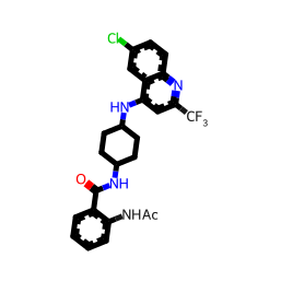 CC(=O)Nc1ccccc1C(=O)NC1CCC(Nc2cc(C(F)(F)F)nc3ccc(Cl)cc23)CC1